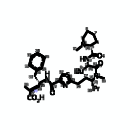 CC[C@H](C)[C@H](NC(=O)[C@H]1CCCCN1C)C(=O)N(C)[C@H](CCc1nc(C(=O)N[C@H](/C=C(\C)C(=O)O)Cc2ccccc2)cs1)C(C)C